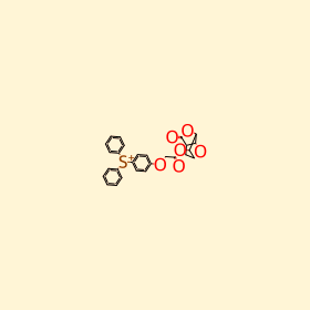 O=C(COc1ccc([S+](c2ccccc2)c2ccccc2)cc1)OC1C2CC3C(=O)OC1C3O2